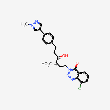 Cn1cc(-c2ccc(CC[C@@H](O)[C@H](CCn3nnc4c(Cl)cccc4c3=O)C(=O)O)cc2)cn1